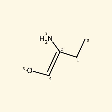 CCC(N)=C[O]